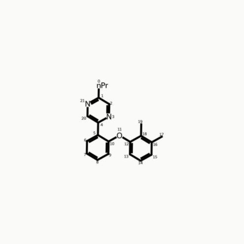 CCCc1cnc(-c2ccccc2Oc2cccc(C)c2C)cn1